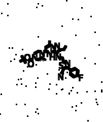 CCc1nn2c(C)cc(N3CCN(C(=O)OC(C)(C)C)C[C@@H]3C)nc2c1NCc1nc(-c2ccc(F)cc2)c(C#N)s1